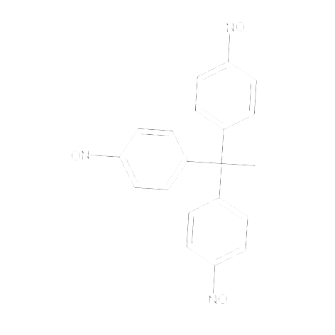 CC(c1ccc(N=O)cc1)(c1ccc(N=O)cc1)c1ccc(N=O)cc1